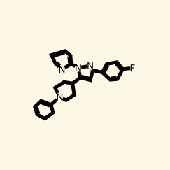 Fc1ccc(-c2cc(C3CCN(C4=CC=CCC4)CC3)n(-c3ccccn3)n2)cc1